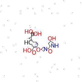 C#C/C(C(=O)O)=C(\C=C/CC1CC1B(O)O)OC1CN(C(=O)C2CC(O)CN2)C1